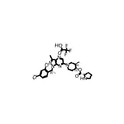 Cc1nn([C@H](C)c2ccc(Cl)cc2Cl)c2nc(N3CC[C@H](OC(=O)[C@@H]4CCCN4)[C@H](C)C3)cnc12.O=C(O)C(F)(F)F